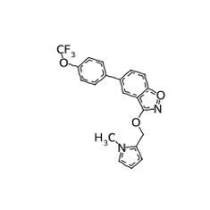 Cn1cccc1COc1noc2ccc(-c3ccc(OC(F)(F)F)cc3)cc12